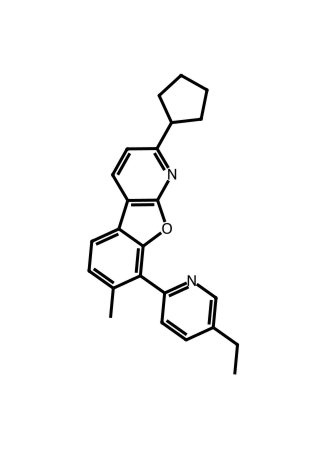 CCc1ccc(-c2c(C)ccc3c2oc2nc(C4CCCC4)ccc23)nc1